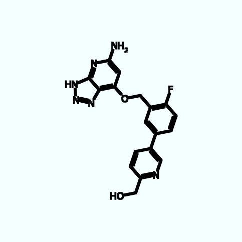 Nc1cc(OCc2cc(-c3ccc(CO)nc3)ccc2F)c2nn[nH]c2n1